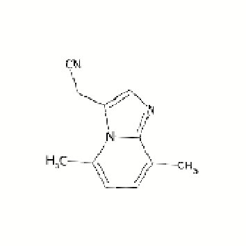 Cc1ccc(C)n2c(CC#N)cnc12